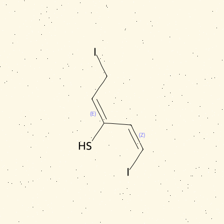 SC(/C=C\I)=C/CI